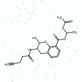 C#CCCC(=O)NC1Cc2cccc(C(=O)OC(C)OC(C)=O)c2OB1O